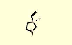 C=C[N+]1([O-])CCNC1